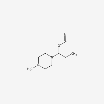 CCC(O[C]=O)N1CCN(C)CC1